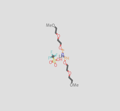 COCCOCCOP=NPOCCOCCOC.O=S(=O)(O)C(F)(F)F.[LiH]